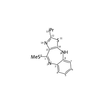 CSC1=Nc2ccccc2Nc2sc(C(C)C)nc21